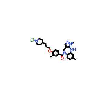 Cc1ccc2c(c1)Nc1c(cnn1C)CN2C(=O)c1ccc(OCCCC2CCN(Cl)CC2)c(C)c1